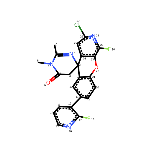 CC1=NC2(CC(=O)N1C)c1cc(-c3cccnc3F)ccc1Oc1c2cc(Cl)nc1F